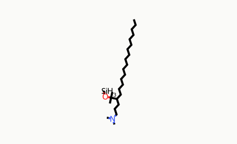 CCCCCCCCCCCCCCCCC(CCCN(C)C)C(C)(C)O[SiH3]